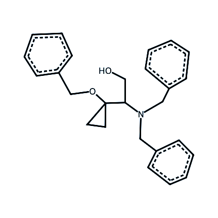 OCC(N(Cc1ccccc1)Cc1ccccc1)C1(OCc2ccccc2)CC1